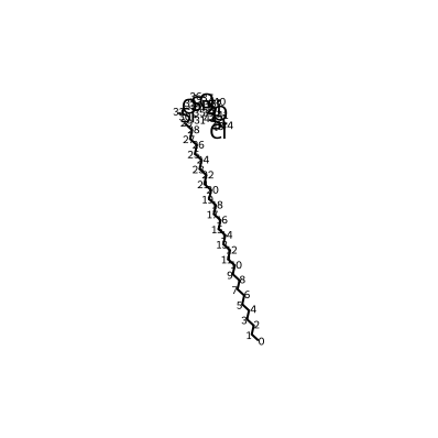 CCCCCCCCCCCCCCCCCCCCCCCCCCCCCC[Si](C)(C)O[Si](C)(C)O[Si](C)(C)O[Si](C)(C)Cl